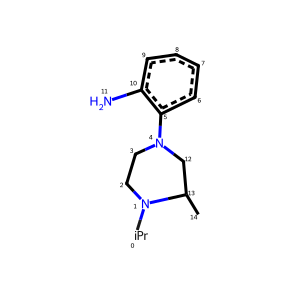 CC(C)N1CCN(c2ccccc2N)CC1C